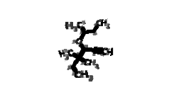 C#CC(OC(C)CC)C(C)(C)CC